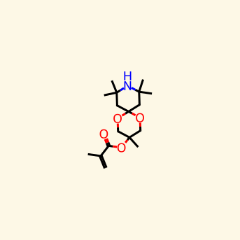 C=C(C)C(=O)OC1(C)COC2(CC(C)(C)NC(C)(C)C2)OC1